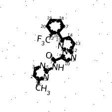 Cc1ccnc(NC(=O)c2cnc3ccc(-c4ccccc4C(F)(F)F)nn23)n1